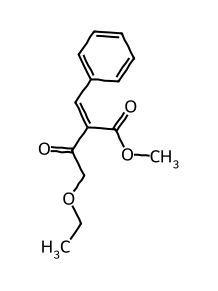 CCOCC(=O)/C(=C/c1ccccc1)C(=O)OC